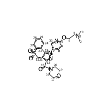 CN(C)CCOc1ccc(-n2nc(C(=O)N3CCOCC3)c3c2-c2ccccc2S(=O)(=O)C3)cn1